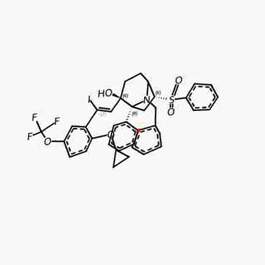 O=S(=O)(c1ccccc1)[C@@H]1C[C@]2(c3ccccc3)N(Cc3ccccc3)C1CC[C@@]2(O)/C=C(\I)c1cc(OC(F)(F)F)ccc1OC1CC1